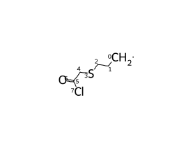 [CH2]CCSCC(=O)Cl